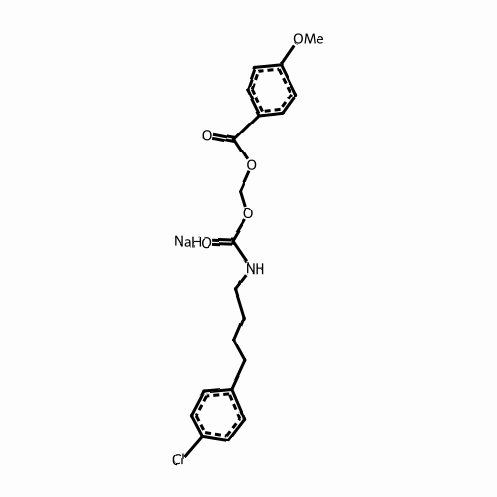 COc1ccc(C(=O)OCOC(=O)NCCCCc2ccc(Cl)cc2)cc1.[NaH]